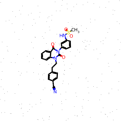 CS(=O)(=O)Nc1cccc(-n2c(=O)c3ccccc3n(CCc3ccc(C#N)cc3)c2=O)c1